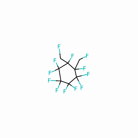 FCC1(F)C(F)(F)C(F)(F)C(F)(F)C(F)(F)C1(F)CF